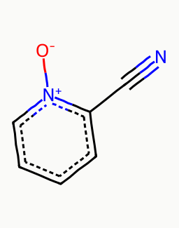 N#Cc1cccc[n+]1[O-]